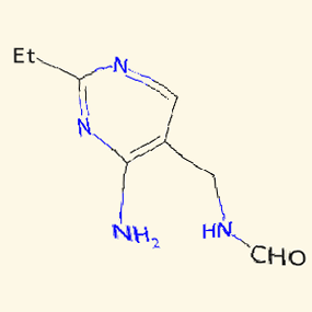 CCc1ncc(CNC=O)c(N)n1